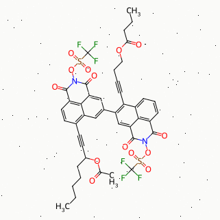 CCCCCC(C#Cc1ccc2c3c(cc(-c4cc5c6c(cccc6c4C#CCCOC(=O)CCC)C(=O)N(OS(=O)(=O)C(F)(F)F)C5=O)cc13)C(=O)N(OS(=O)(=O)C(F)(F)F)C2=O)OC(C)=O